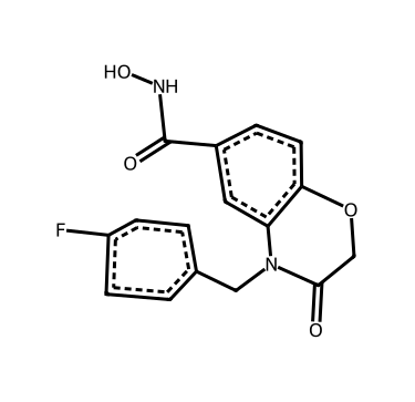 O=C(NO)c1ccc2c(c1)N(Cc1ccc(F)cc1)C(=O)CO2